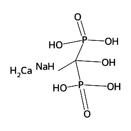 CC(O)(P(=O)(O)O)P(=O)(O)O.[CaH2].[NaH]